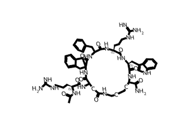 CC(=O)N[C@@H](CCCNC(=N)N)C(=O)NC1CC(=O)NCCCCC(C(N)=O)NC(=O)[C@H](Cc2c[nH]c3ccccc23)NC(=O)[C@H](CCCNC(=N)N)NC(=O)C(Cc2ccccc2)NC(=O)C2(Cc3ccccc3C2)NC1=O